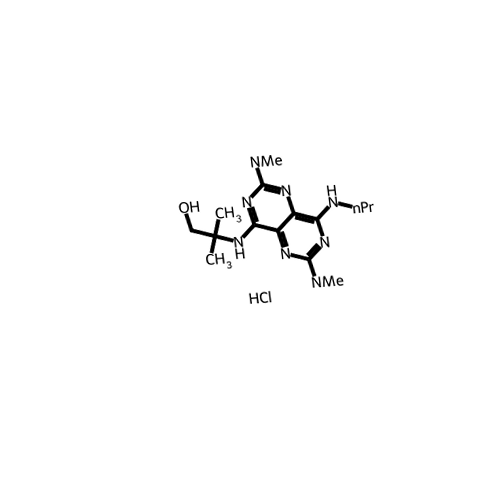 CCCNc1nc(NC)nc2c(NC(C)(C)CO)nc(NC)nc12.Cl